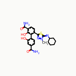 Cn1nc(-c2ccc(C(N)=O)c(O)c2-c2ccc(C(N)=O)cc2O)sc1=NC1CCCCC1